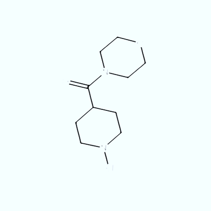 O=C(C1CCN(Cl)CC1)N1CCOCC1